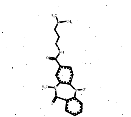 CN(C)CCCNC(=O)c1ccc2c(c1)N(C)C(=O)c1ccccc1[S+]2[O-]